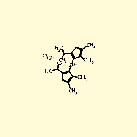 CC1=C(C)[C]([Zr+2][C]2=C(C(C)C)CC(C)=C2C)=C(C(C)C)C1.[Cl-].[Cl-]